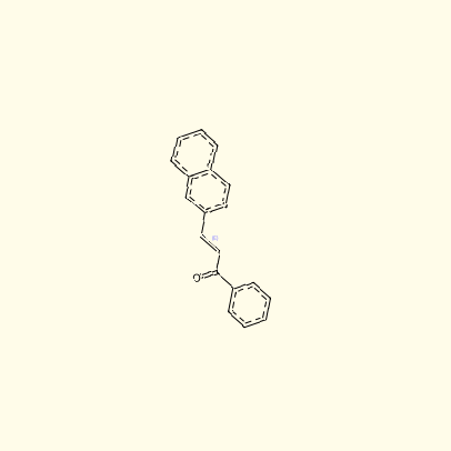 O=C(/C=C/c1ccc2ccccc2c1)c1ccccc1